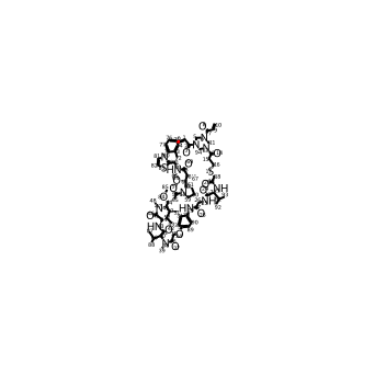 C=CC(=O)N1CN(C(=O)C=C)CN(C(=O)CCSCC(=O)NC(C(=O)NCC(=O)Nc2ccc(OCC(=O)N(C)C(C(=O)NCC(=O)N(C)[C@@H]([C@@H](C)CC)[C@@H](CC(=O)N3CCC[C@H]3[C@H](OC)[C@@H](C)C(=O)N[C@@H](Cc3ccccc3)c3nccs3)OC)C(C)C)cc2)C(C)C)C1